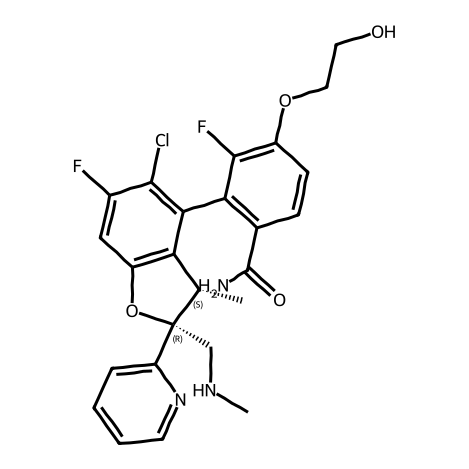 CNC[C@]1(c2ccccn2)Oc2cc(F)c(Cl)c(-c3c(C(N)=O)ccc(OCCO)c3F)c2[C@@H]1C